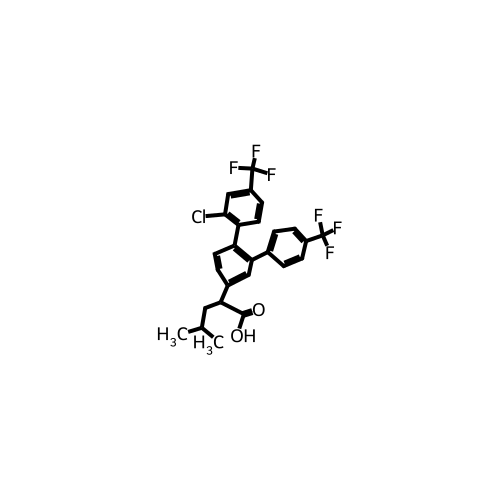 CC(C)CC(C(=O)O)c1ccc(-c2ccc(C(F)(F)F)cc2Cl)c(-c2ccc(C(F)(F)F)cc2)c1